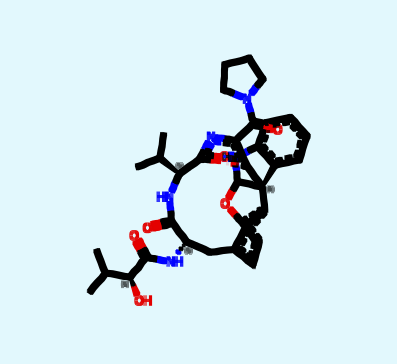 CC(C)[C@H](O)C(=O)N[C@H]1Cc2ccc3c(c2)[C@@]2(c4ccccc4NC2O3)c2oc(nc2C(=O)N2CCCC2)[C@H](C(C)C)NC1=O